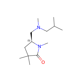 CC(C)CN(C)C[C@@H]1CC(C)(C)C(=O)N1C